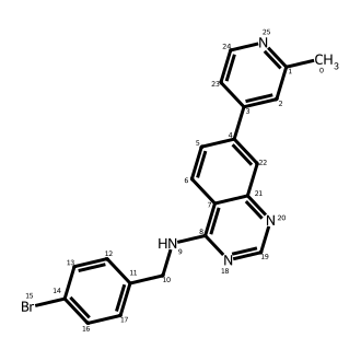 Cc1cc(-c2ccc3c(NCc4ccc(Br)cc4)ncnc3c2)ccn1